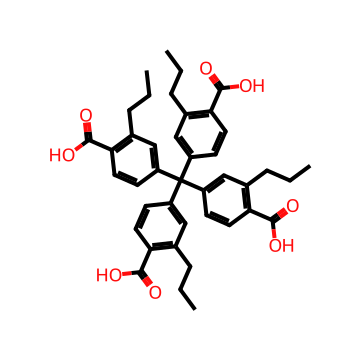 CCCc1cc(C(c2ccc(C(=O)O)c(CCC)c2)(c2ccc(C(=O)O)c(CCC)c2)c2ccc(C(=O)O)c(CCC)c2)ccc1C(=O)O